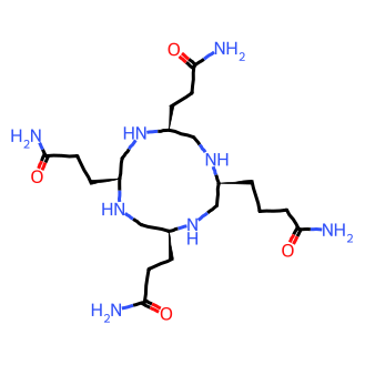 NC(=O)CCC[C@H]1CN[C@@H](CCC(N)=O)CN[C@@H](CCC(N)=O)CN[C@@H](CCC(N)=O)CN1